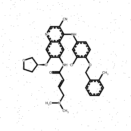 Cc1ccccc1COc1ccc(Nc2c(C#N)cnc3cc(O[C@H]4CCOC4)c(NC(=O)C=CCN(C)C)cc23)cc1Cl